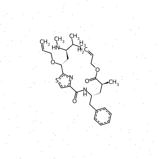 C=CCOC(=O)[C@@H](C)C[C@H](Cc1ccccc1)NC(=O)c1csc([C@@H](C[C@@H](NC)C(C)C)OCC=C)n1